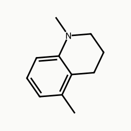 Cc1cccc2c1CCCN2C